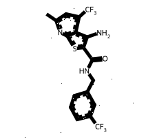 Cc1cc(C(F)(F)F)c2c(N)c(C(=O)NCc3cccc(C(F)(F)F)c3)sc2n1